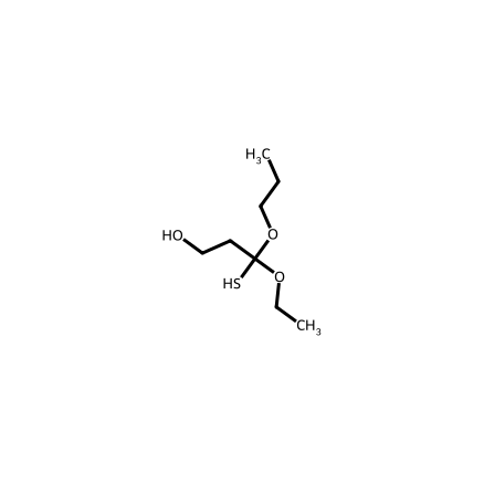 CCCOC(S)(CCO)OCC